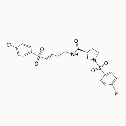 O=C(NCC/C=C/S(=O)(=O)c1ccc(Cl)cc1)[C@H]1CCN(S(=O)(=O)c2ccc(F)cc2)C1